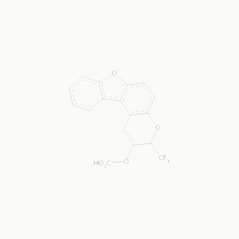 O=C(O)OC1=Cc2c(ccc3oc4ccccc4c23)OC1C(F)(F)F